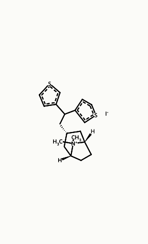 C[N+]1(C)[C@@H]2CC[C@H]1C[C@@H](CC(c1ccsc1)c1ccsc1)C2.[I-]